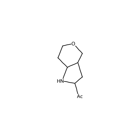 CC(=O)C1CC2COCCC2N1